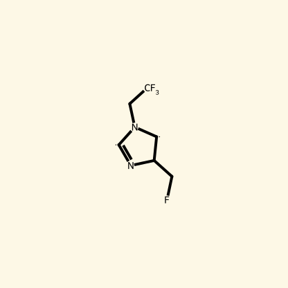 FCC1[CH]N(CC(F)(F)F)[C]=N1